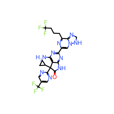 Nc1nc(C2=CN3NCN=C3C(CCCC(F)(F)F)=N2)nc2c1C(c1ncc(C(F)(F)F)cn1)(C1CC1)C(=O)N2